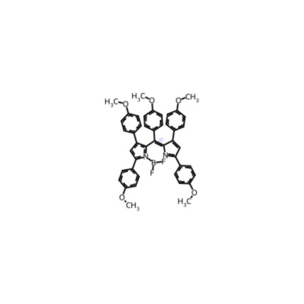 COc1ccc(C2=CC(c3ccc(OC)cc3)=N/C2=C(/c2ccc(OC)cc2)c2c(-c3ccc(OC)cc3)cc(-c3ccc(OC)cc3)n2B(F)F)cc1